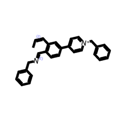 C/C=C\c1cc(-c2cc[n+](Cc3ccccc3)cc2)ccc1/C=N/Cc1ccccc1